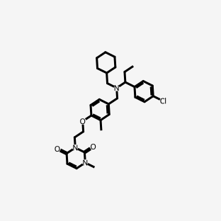 CCC(c1ccc(Cl)cc1)N(Cc1ccc(OCCn2c(=O)ccn(C)c2=O)c(C)c1)CC1CCCCC1